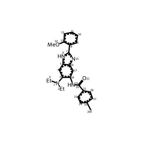 CCN(CC)c1cc2[nH]c(-c3ccccc3OC)nc2cc1NC(=O)c1ccc(I)cc1